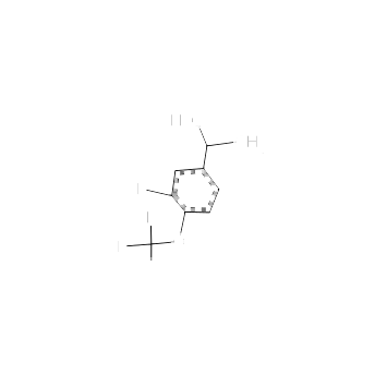 [CH2]C(C)c1ccc(OC(F)(F)F)c(F)c1